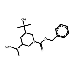 CSN(C)C1CC(C(C)(C)O)CN(C(=O)OCc2ccccc2)C1